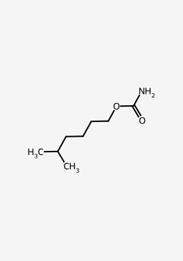 CC(C)CCCCOC(N)=O